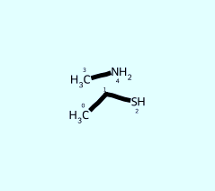 CCS.CN